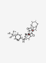 NC(=O)C1CC2CCCC(C1)C2OC(=O)N1CC[C@@H](Nc2ccc(C(F)(F)F)cn2)C1